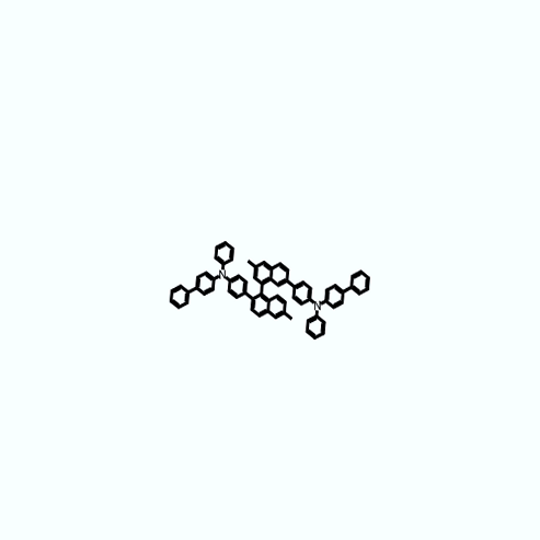 Cc1cc(-c2c(-c3ccc(N(c4ccccc4)c4ccc(-c5ccccc5)cc4)cc3)ccc3cc(C)ccc23)c2cc(-c3ccc(N(c4ccccc4)c4ccc(-c5ccccc5)cc4)cc3)ccc2c1